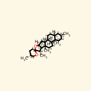 C[C@@H]1CC[C@@]2(OC1)O[C@H]1C[C@H]3[C@@H]4CC[C@@H]5C[C@@H](C)CC[C@]5(C)[C@H]4CC[C@]3(C)[C@H]1[C@@H]2C